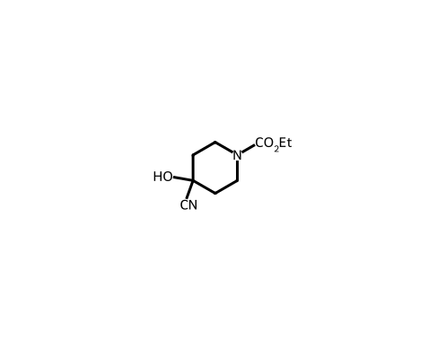 CCOC(=O)N1CCC(O)(C#N)CC1